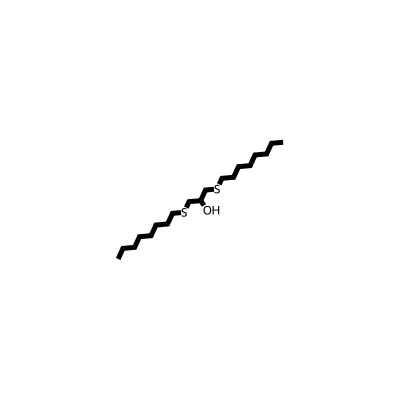 CCCCCCCCSCC(O)CSCCCCCCCC